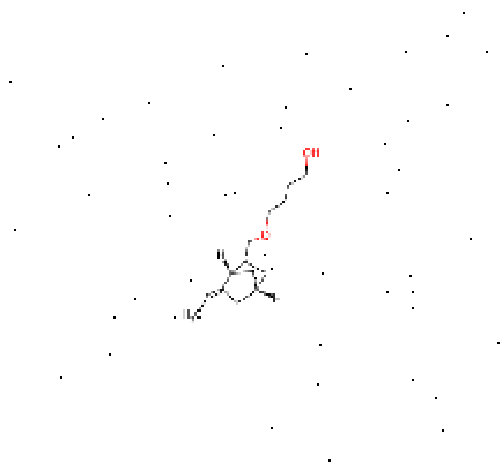 CC=C1C[C@H]2CC(COCCCCO)[C@@H]1C2